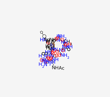 CC(=O)NCCCCC(NC(=O)C1(NC(=O)C(Cc2ccc3ccccc3c2)NC(=O)C(Cc2ccc(OCCNC3CCCC(C4CCCC4)CC3)cc2)NC(=O)C2NC(=O)C(CCC(N)=O)NC(=O)C(Cc3c[nH]c4ccccc34)NC(=O)C(C(C)O)NC(=O)C(CC(N)=O)NC(=O)C(NC(C)=O)C(C)(C)SSC2(C)C)CCOCC1)C(=O)NC(CC(N)=O)C(=O)NC(CC(N)=O)C(N)=O